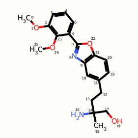 COc1cccc(-c2nc3cc(CCC(C)(N)CO)ccc3o2)c1OC